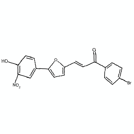 O=C(/C=C/c1ccc(-c2ccc(O)c([N+](=O)[O-])c2)o1)c1ccc(Br)cc1